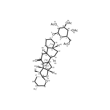 CC(=O)OC[C@H]1O[C@@H](O[C@H]2CC[C@@]3(C)[C@@H](CC[C@@H]4[C@@H]3CC(=O)[C@]3(C)[C@@H]5[C@H](C[C@@H]43)O[C@]3(CC[C@@H](C)CO3)[C@H]5C)C2)[C@H](OC(C)=O)[C@@H](OC(C)=O)[C@@H]1OC(C)=O